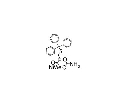 CNC(=O)[C@@H](CSC(c1ccccc1)(c1ccccc1)c1ccccc1)OC(N)=O